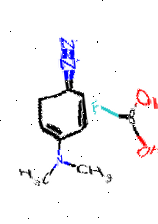 CN(C)C1=CCC(=[N+]=[N-])C=C1.OB(O)F